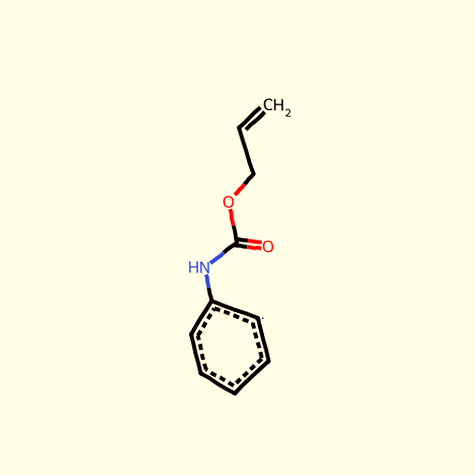 C=CCOC(=O)Nc1[c]cccc1